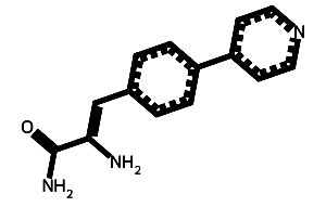 NC(=O)/C(N)=C/c1ccc(-c2ccncc2)cc1